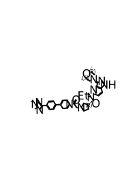 CCN(C(=O)[C@@H]1CCN(CC(=O)N2CC=C(c3ccc(-c4ncn(C)n4)cc3)CC2)C1)c1ccc2[nH]nc(N3C[C@@H](C)O[C@@H](C)C3)c2n1